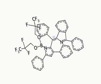 FC(F)(F)C(F)(F)COB(OCC(F)(F)C(F)(F)F)n1c(-c2ccccc2)cc(-c2ccccc2)c1/C(=C1\N=C(c2ccccc2)c2ccccc21)c1ccccc1